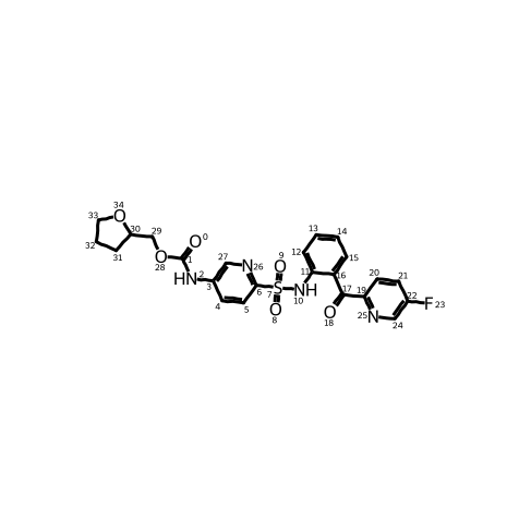 O=C(Nc1ccc(S(=O)(=O)Nc2ccccc2C(=O)c2ccc(F)cn2)nc1)OCC1CCCO1